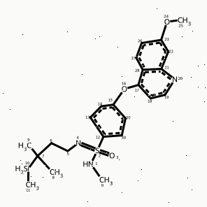 CNS(=O)(=NCCC(C)(C)[SiH2]C)c1ccc(Oc2ccnc3cc(OC)ccc23)cc1